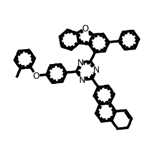 Cc1ccccc1Oc1ccc(-c2nc(-c3ccc4c5c(ccc4c3)CCC=C5)nc(-c3cc(-c4ccccc4)cc4oc5ccccc5c34)n2)cc1